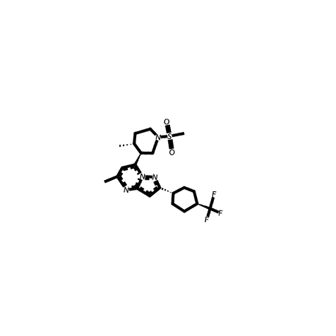 Cc1cc([C@@H]2CN(S(C)(=O)=O)CC[C@H]2C)n2nc([C@H]3CC[C@H](C(F)(F)F)CC3)cc2n1